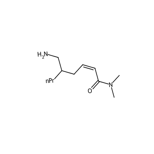 CCCC(CN)C/C=C\C(=O)N(C)C